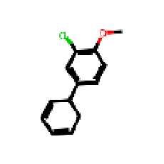 COc1ccc(C2C=CC=CC2)cc1Cl